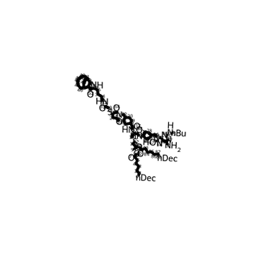 CCCCCCCCCCCCCCCC(=O)OCC(CSCC(NC(=O)C1CCC(CN2C(=O)CC(SCC(=O)NCCCCC3NC4C5=CC=CC=CC=C(C=C5)C4C3=O)C2=O)CC1)C(=O)Nc1ccc(Cn2c(O)nc3c(N)nc(NCCCC)nc32)cc1)OC(=O)CCCCCCCCCCCCCCC